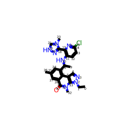 CCn1ncc2c3c(C(C)Nc4ccc(Cl)nc4C4=NNCN4C)cc(C)cc3c(=O)n(C)c21